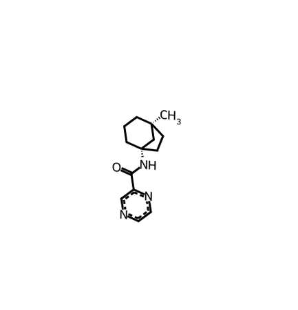 C[C@]12CCC[C@](NC(=O)c3cnccn3)(CC1)C2